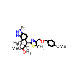 CCn1nnc2c(C)c(C(c3nc(COCc4ccc(OC)cc4)c(C)s3)C(C)(C)C(=O)OC)ccc21